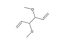 C=CC(OC)C(C=C)OC